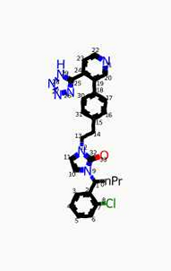 CCCC(c1ccccc1Cl)n1ccn(CCc2ccc(-c3cnccc3-c3nnn[nH]3)cc2)c1=O